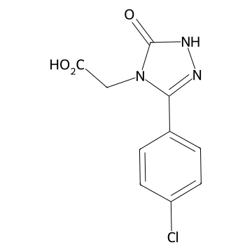 O=C(O)Cn1c(-c2ccc(Cl)cc2)n[nH]c1=O